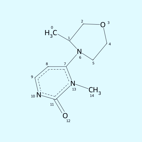 CC1COCCN1c1ccnc(=O)n1C